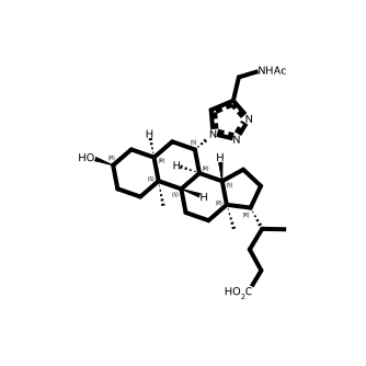 CC(=O)NCc1cn([C@H]2C[C@@H]3C[C@H](O)CC[C@]3(C)[C@H]3CC[C@]4(C)[C@@H](C(C)CCC(=O)O)CC[C@H]4[C@H]23)nn1